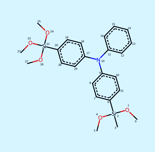 CO[Si](C)(OC)c1ccc(N(c2ccccc2)c2ccc([Si](OC)(OC)OC)cc2)cc1